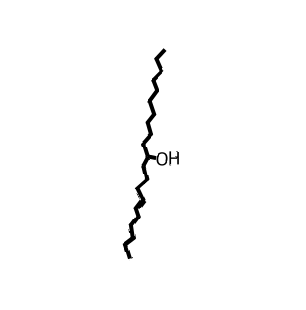 CCCCCC=CCCCC(O)CCCCCCCCCC